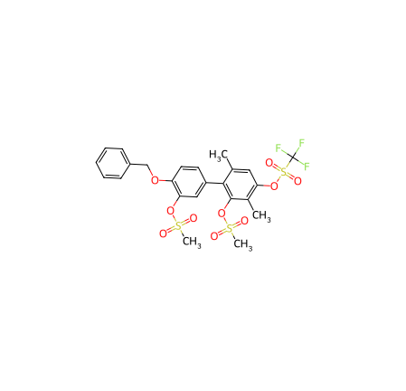 Cc1cc(OS(=O)(=O)C(F)(F)F)c(C)c(OS(C)(=O)=O)c1-c1ccc(OCc2ccccc2)c(OS(C)(=O)=O)c1